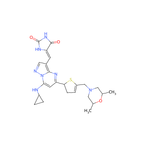 CC1CN(CC2=CCC(c3cc(NC4CC4)n4ncc(/C=C5\NC(=O)NC5=O)c4n3)S2)CC(C)O1